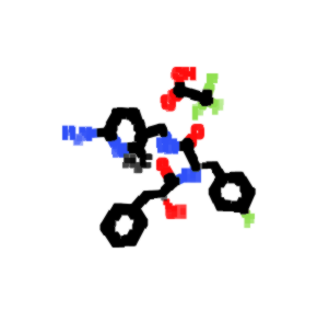 Cc1nc(N)ccc1CNC(=O)[C@H](Cc1ccc(F)cc1)NC(=O)[C@H](O)Cc1ccccc1.O=C(O)C(F)(F)F